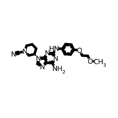 COCCOc1ccc(Nc2nc(N)c3ncn([C@H]4CCCN(C#N)C4)c3n2)cc1